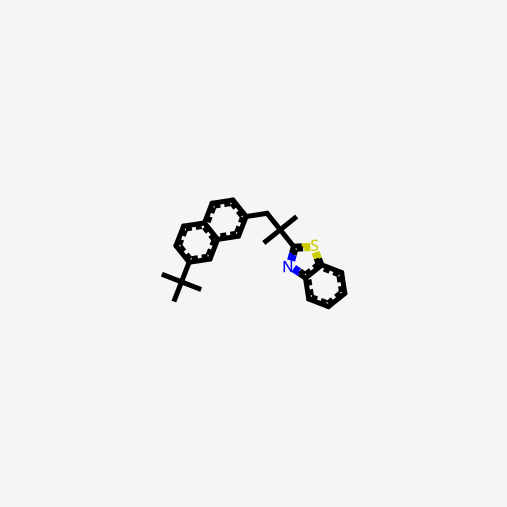 CC(C)(C)c1ccc2ccc(CC(C)(C)c3nc4ccccc4s3)cc2c1